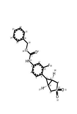 O=C(Nc1ccc(C2[C@H]3CS(=O)(=O)C[C@@H]23)c(F)c1)OCc1ccccc1